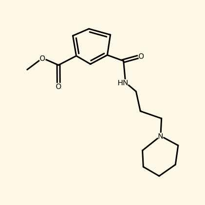 COC(=O)c1cccc(C(=O)NCCCN2CCCCC2)c1